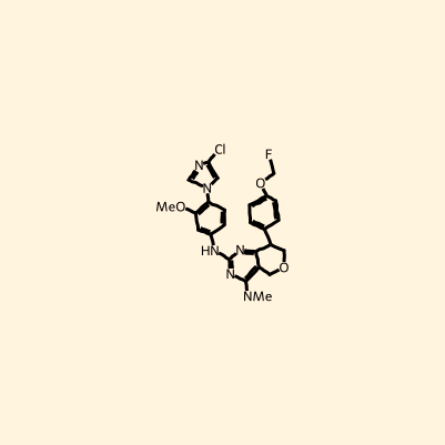 CNc1nc(Nc2ccc(-n3cnc(Cl)c3)c(OC)c2)nc2c1COCC2c1ccc(OCF)cc1